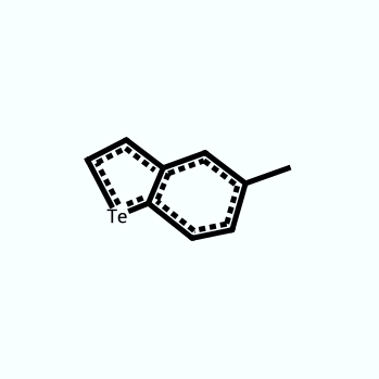 Cc1ccc2[te]ccc2c1